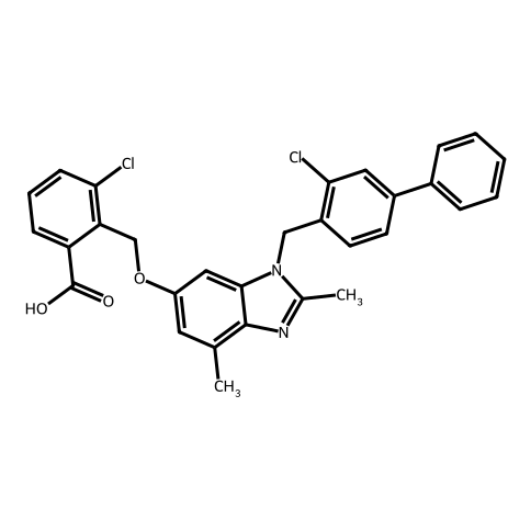 Cc1cc(OCc2c(Cl)cccc2C(=O)O)cc2c1nc(C)n2Cc1ccc(-c2ccccc2)cc1Cl